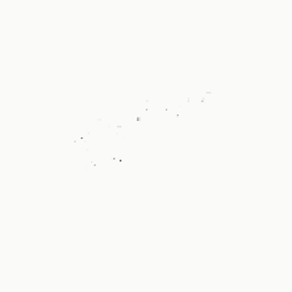 C1=CSSC1.O=C(O)CCC(=O)O